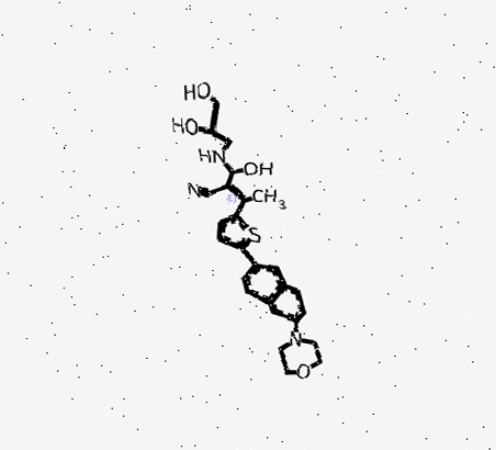 C/C(=C(/C#N)C(O)NCC(O)CO)c1ccc(-c2ccc3cc(N4CCOCC4)ccc3c2)s1